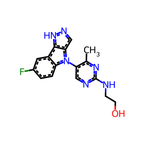 Cc1nc(NCCO)ncc1-n1c2ccc(F)cc2c2[nH]ncc21